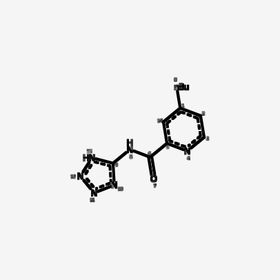 CCCCc1ccnc(C(=O)Nc2nnn[nH]2)c1